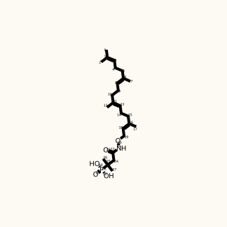 CC(C)=CCCC(C)=CCCC(C)=CCCC(C)=CCONC(=O)CC(C)(C)P(=O)(O)O